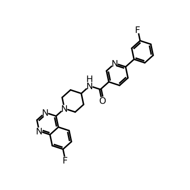 O=C(NC1CCN(c2ncnc3cc(F)ccc23)CC1)c1ccc(-c2cccc(F)c2)nc1